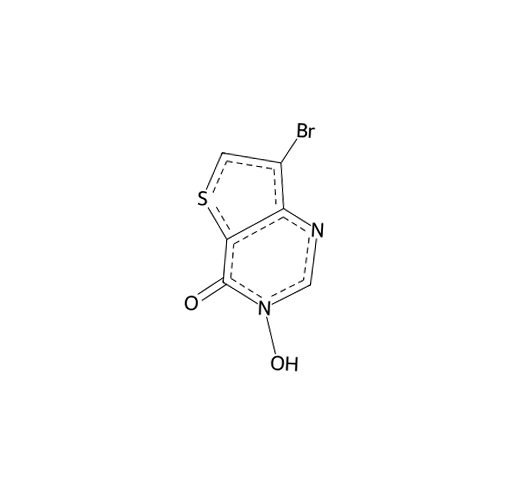 O=c1c2scc(Br)c2ncn1O